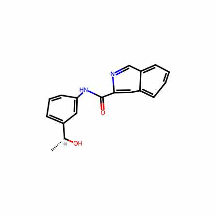 C[C@@H](O)c1cccc(NC(=O)c2cc3ccccc3cn2)c1